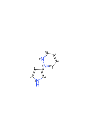 c1cc[nH]c1.c1ccnnc1